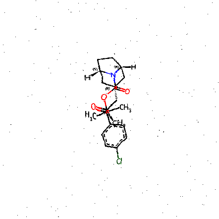 CC(C)(C)OC(=O)N1[C@@H]2CC[C@H]1C[C@@H](CC(=O)c1ccc(Cl)cc1)C2